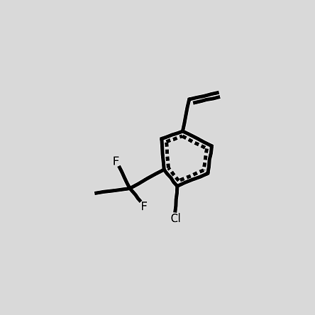 C=Cc1ccc(Cl)c(C(C)(F)F)c1